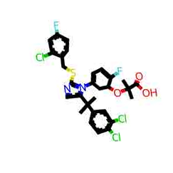 CC(C)(OC1CC(n2c(C(C)(C)c3ccc(Cl)c(Cl)c3)cnc2SCc2ccc(F)cc2Cl)=CC=C1F)C(=O)O